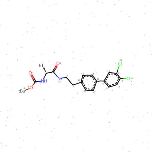 CC[C@H](NC(=O)OC(C)(C)C)C(=O)NCCc1ccc(-c2ccc(Cl)c(Cl)c2)cc1